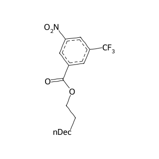 CCCCCCCCCCCCOC(=O)c1cc([N+](=O)[O-])cc(C(F)(F)F)c1